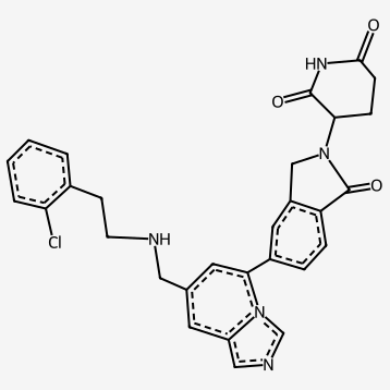 O=C1CCC(N2Cc3cc(-c4cc(CNCCc5ccccc5Cl)cc5cncn45)ccc3C2=O)C(=O)N1